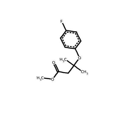 COC(=O)CC(C)(C)Oc1ccc(F)cc1